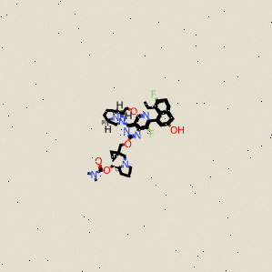 CCc1c(F)ccc2cc(O)cc(-c3nc4c5c(nc(OCC6(CN7CCC[C@H]7COC(=O)N(C)C)CC6)nc5c3F)N3C[C@H]5CC[C@H](N5)[C@@H]3CO4)c12